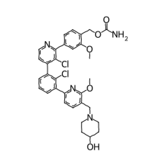 COc1cc(-c2nccc(-c3cccc(-c4ccc(CN5CCC(O)CC5)c(OC)n4)c3Cl)c2Cl)ccc1COC(N)=O